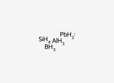 B.[AlH3].[PbH2].[SiH4]